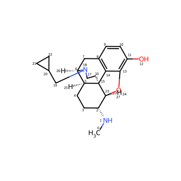 CN[C@@H]1CC[C@H]2[C@H]3Cc4ccc(O)c5c4[C@@]2(CCN3CC2CC2)[C@H]1O5